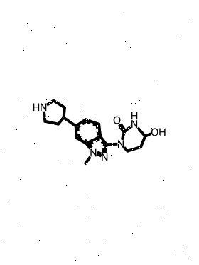 Cn1nc(N2CCC(O)NC2=O)c2ccc(C3CCNCC3)cc21